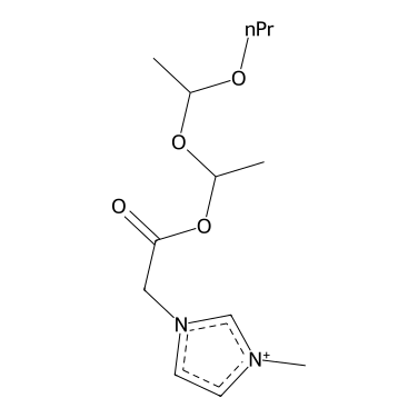 CCCOC(C)OC(C)OC(=O)Cn1cc[n+](C)c1